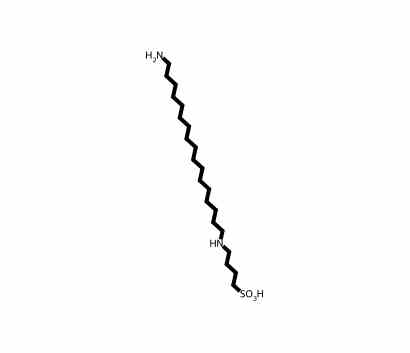 NCCCCCCCCCCCCCCCCCNCCCCS(=O)(=O)O